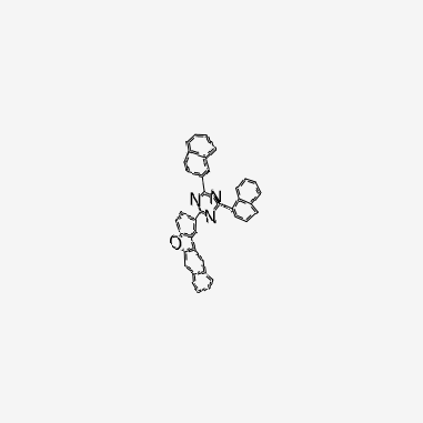 c1ccc2cc(-c3nc(-c4ccc5oc6cc7ccccc7cc6c5c4)nc(-c4cccc5ccccc45)n3)ccc2c1